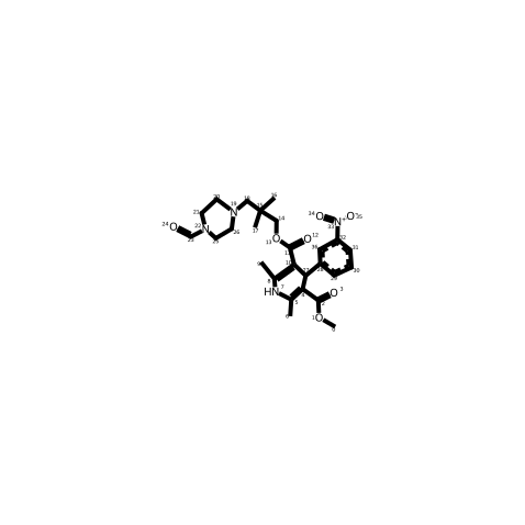 COC(=O)C1=C(C)NC(C)=C(C(=O)OCC(C)(C)CN2CCN(C=O)CC2)C1c1cccc([N+](=O)[O-])c1